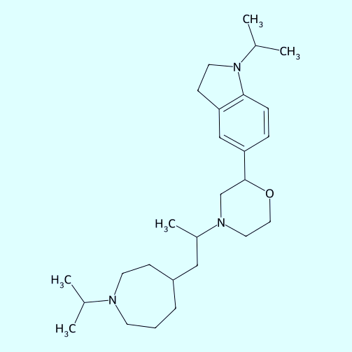 CC(C)N1CCCC(CC(C)N2CCOC(c3ccc4c(c3)CCN4C(C)C)C2)CC1